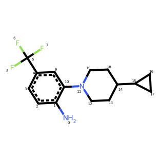 Nc1ccc(C(F)(F)F)cc1N1CCC(C2CC2)CC1